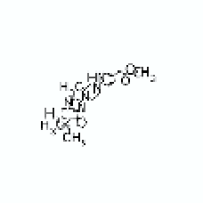 CC[C@@H](C)CC1(c2nc(N3CCN(C4C=CC(CC(=O)OC)=CN4)CC3C)cnc2C)CCCC1